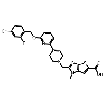 Cn1c(CN2CC=C(c3cccc(OCc4ccc(Cl)cc4F)n3)CC2)nc2sc(C(=O)O)cc21